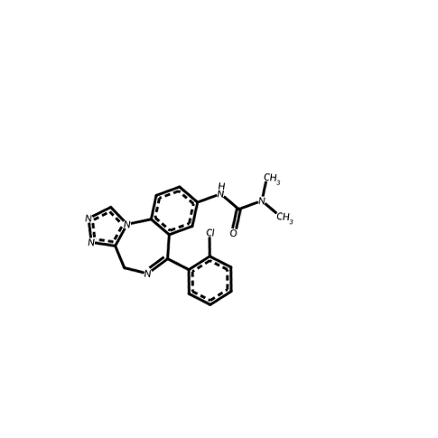 CN(C)C(=O)Nc1ccc2c(c1)C(c1ccccc1Cl)=NCc1nncn1-2